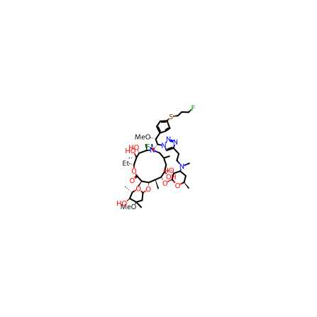 CC[C@H]1OC(=O)[C@H](C)[C@@H](O[C@H]2C[C@@](C)(OC)[C@@H](O)[C@H](C)O2)[C@H](C)[C@@H](O[C@@H]2O[C@H](C)C[C@H](N(C)CCc3cn([C@H](CF)[C@H](OC)c4ccc(SCCCF)cc4)nn3)[C@H]2O)[C@](C)(O)CC(C)CN(C)[C@H](C)[C@@H](O)[C@]1(C)O